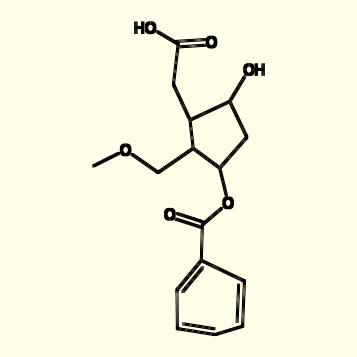 COCC1C(OC(=O)c2ccccc2)CC(O)C1CC(=O)O